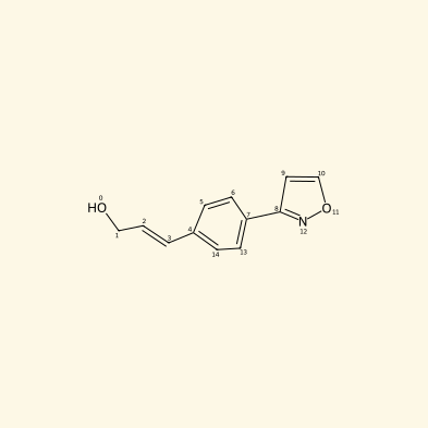 OC/C=C/c1ccc(-c2ccon2)cc1